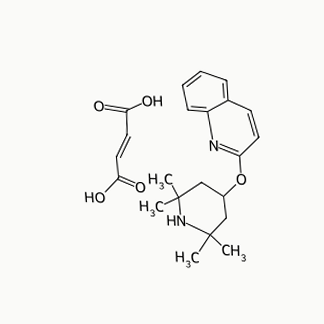 CC1(C)CC(Oc2ccc3ccccc3n2)CC(C)(C)N1.O=C(O)/C=C/C(=O)O